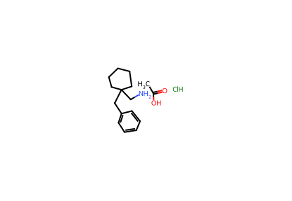 CC(=O)O.Cl.NCC1(Cc2ccccc2)CCCCC1